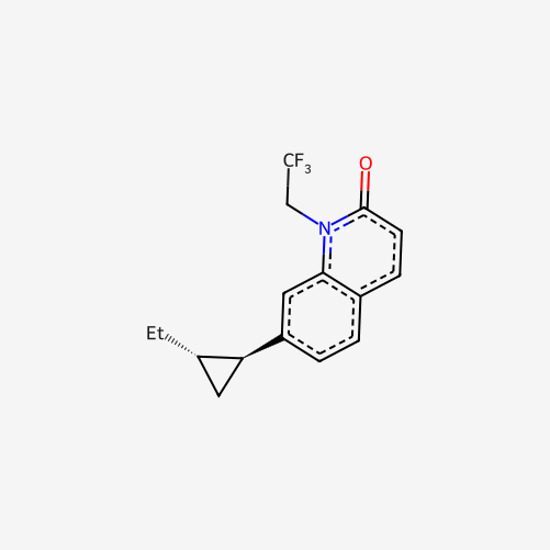 CC[C@H]1C[C@@H]1c1ccc2ccc(=O)n(CC(F)(F)F)c2c1